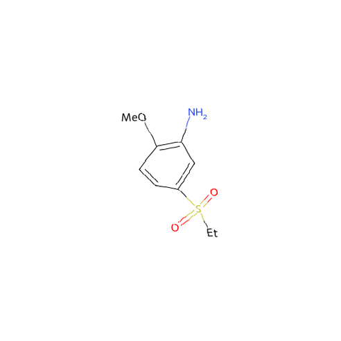 CCS(=O)(=O)c1ccc(OC)c(N)c1